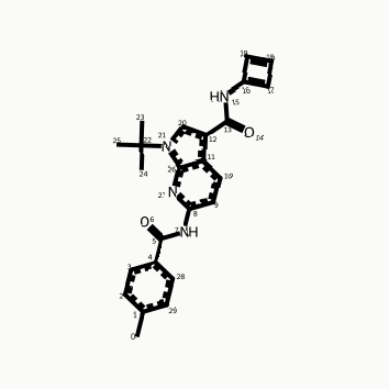 Cc1ccc(C(=O)Nc2ccc3c(C(=O)NC4=CC=C4)cn(C(C)(C)C)c3n2)cc1